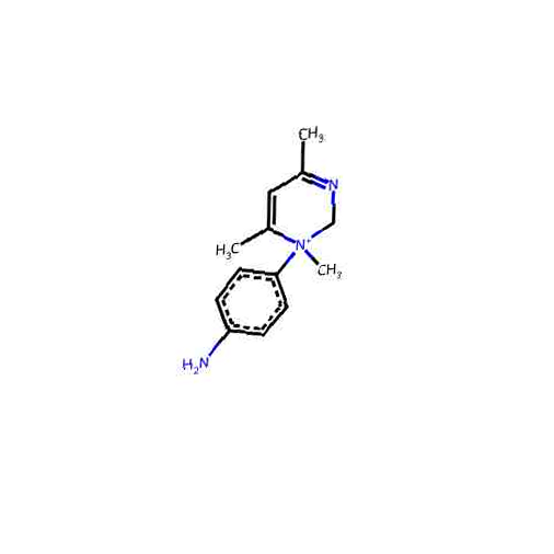 CC1=CC(C)=NC[N+]1(C)c1ccc(N)cc1